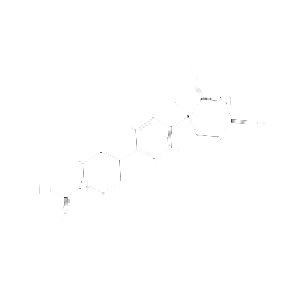 CC1(c2ccc(C3CCN(C(=O)O)CC3)cc2)CCC(=O)NC1=O